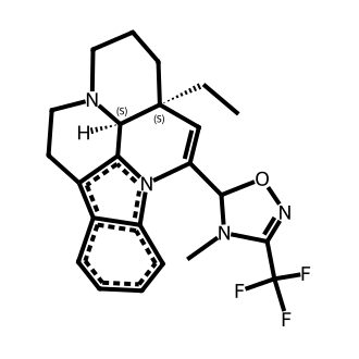 CC[C@@]12C=C(C3ON=C(C(F)(F)F)N3C)n3c4c(c5ccccc53)CCN(CCC1)[C@H]42